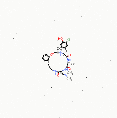 CC(C)[C@H]1NC(=O)[C@@H](Cc2ccc(O)c(Cl)c2)N[C@@H](C)COc2ccccc2CCCNC(=O)[C@H](CN(C)C)NC1=O